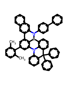 Cc1cccc(C)c1-c1cc2c3c(c1)N1c4ccccc4C(c4ccccc4)(c4ccccc4)c4cccc(c41)B3N(c1ccc(-c3ccccc3)cc1)c1cc3ccccc3cc1-2